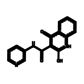 O=C(Nc1cccnc1)c1c(O)[nH]c2ccccc2c1=O